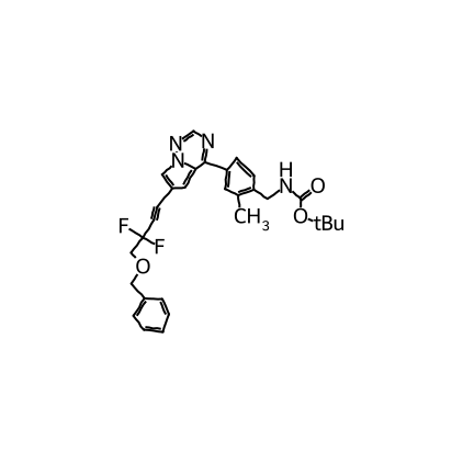 Cc1cc(-c2ncnn3cc(C#CC(F)(F)COCc4ccccc4)cc23)ccc1CNC(=O)OC(C)(C)C